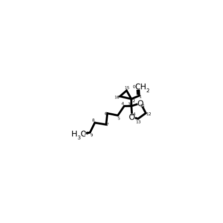 C=CC1(C2(CCCCCCC)OCCO2)CC1